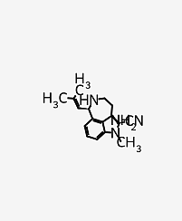 CC(C)=C[C@H]1NCC[C@]2(N)c3c1cccc3N(C)[C@@H]2C#N